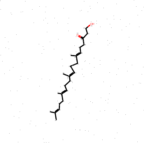 CC(C)=CCC/C(C)=C/CC/C(C)=C/CC/C(C)=C/CCC(=O)CCO